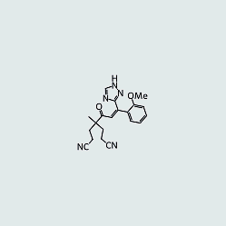 COc1ccccc1C(=CC(=O)C(C)(CCC#N)CCC#N)c1nc[nH]n1